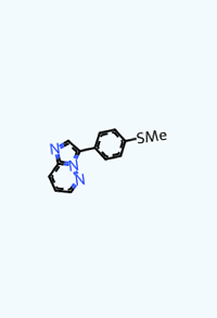 CSc1ccc(-c2cnc3cccnn23)cc1